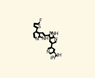 CC(C)Nc1cncc(-c2cnc3[nH]nc(-c4cc5c(-c6ccc(F)s6)ccnc5[nH]4)c3c2)c1